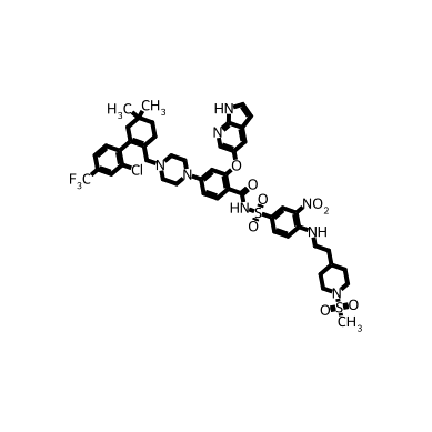 CC1(C)CCC(CN2CCN(c3ccc(C(=O)NS(=O)(=O)c4ccc(NCCC5CCN(S(C)(=O)=O)CC5)c([N+](=O)[O-])c4)c(Oc4cnc5[nH]ccc5c4)c3)CC2)=C(c2ccc(C(F)(F)F)cc2Cl)C1